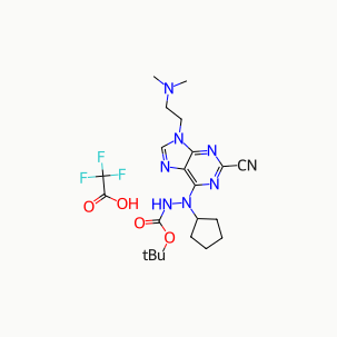 CN(C)CCn1cnc2c(N(NC(=O)OC(C)(C)C)C3CCCC3)nc(C#N)nc21.O=C(O)C(F)(F)F